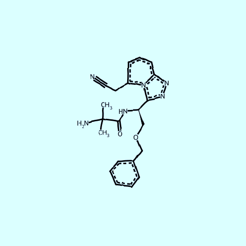 CC(C)(N)C(=O)N[C@H](COCc1ccccc1)c1nnc2cccc(CC#N)n12